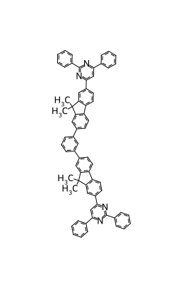 CC1(C)c2cc(-c3cccc(-c4ccc5c(c4)C(C)(C)c4cc(-c6cc(-c7ccccc7)nc(-c7ccccc7)n6)ccc4-5)c3)ccc2-c2ccc(-c3cc(-c4ccccc4)nc(-c4ccccc4)n3)cc21